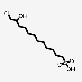 O=S(=O)(O)CCCCCCCCCCC(O)CCl